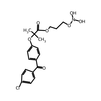 CC(C)(Oc1ccc(C(=O)c2ccc(Cl)cc2)cc1)C(=O)OCCCON(O)O